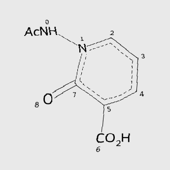 CC(=O)Nn1cccc(C(=O)O)c1=O